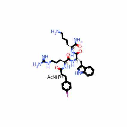 CC(=O)N[C@H](Cc1ccc(I)cc1)C(=O)N[C@@H](CCCNC(=N)N)C(=O)N[C@@H](Cc1c[nH]c2ccccc12)C(=O)N[C@H](CCCCN)C(N)=O